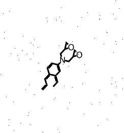 C=C/C=c1/ccc(N(CC2CO2)CC2CO2)c/c1=C/C